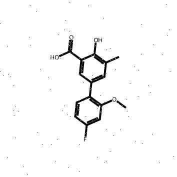 COc1cc(F)ccc1-c1cc(C)c(O)c(C(=O)O)c1